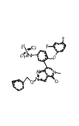 CCS(=O)(=O)Nc1ccc(Oc2ccc(F)cc2F)c(-c2cn(C)c(=O)c3cn(OCc4ccccc4)nc23)c1